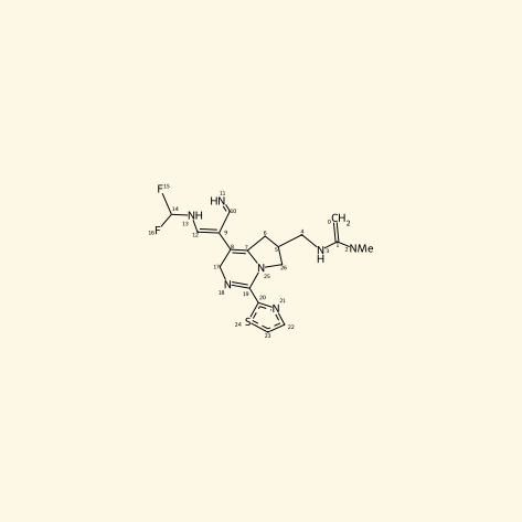 C=C(NC)NCC1CC2=C(/C(C=N)=C/NC(F)F)CN=C(c3nccs3)N2C1